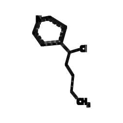 CCCCC(Cl)c1ccncc1